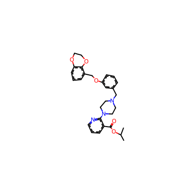 CC(C)OC(=O)c1cccnc1N1CCN(Cc2cccc(OCc3cccc4c3OCCO4)c2)CC1